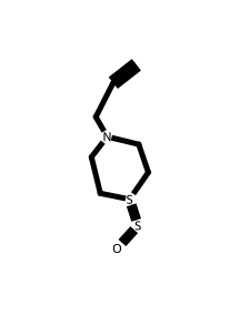 C#CCN1CCS(=S=O)CC1